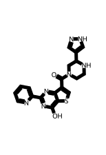 O=C(c1csc2c(O)nc(-c3ccccn3)nc12)N1CCNC(c2cn[nH]c2)C1